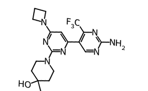 CC1(O)CCN(c2nc(-c3cnc(N)nc3C(F)(F)F)cc(N3CCC3)n2)CC1